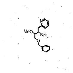 CO[C@H](COCc1ccccc1)[C@H](N)Cc1ccccn1